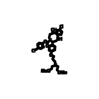 C=C1CCN(C(=O)Oc2ccc(Cl)cc2)C(c2ccc(OCCCN(CCOC)CCOC)cc2)CNc2ccc(Cl)cc21